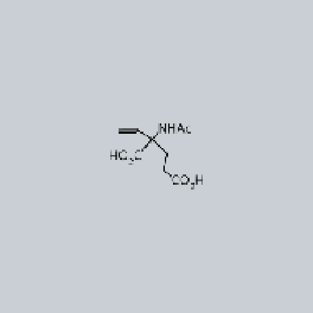 C=CC(CCC(=O)O)(NC(C)=O)C(=O)O